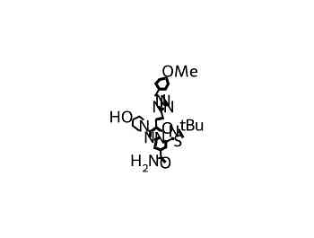 COc1ccc(Cn2nnc(C=Cc3c(N4CCC(O)CC4)nc4cc(C(N)=O)cc(-c5nc(C(C)(C)C)cs5)n4c3=O)n2)cc1